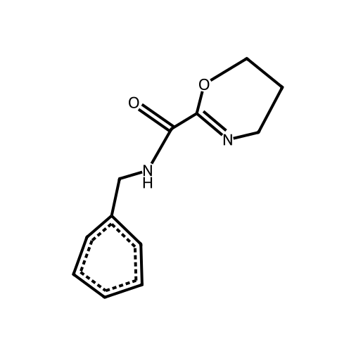 O=C(NCc1ccccc1)C1=NCCCO1